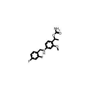 COc1cc(NCc2ccc(F)cc2F)ccc1C(C)OC(N)=O